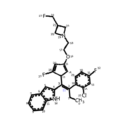 CC/C(=C(\c1cc2ccccc2[nH]1)C1C=C(OCCN2CC(CF)C2)C=C1F)c1ccc(F)cc1Cl